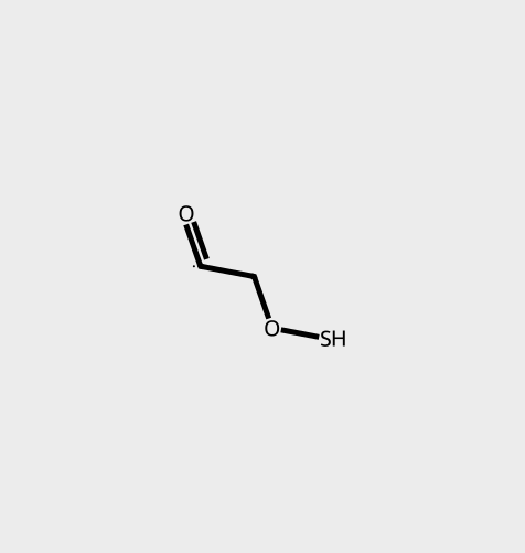 O=[C]COS